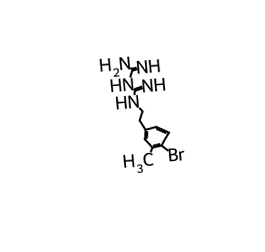 Cc1cc(CCNC(=N)NC(=N)N)ccc1Br